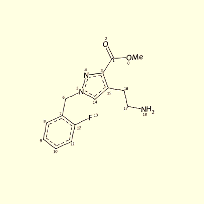 COC(=O)c1nn(Cc2ccccc2F)cc1CCN